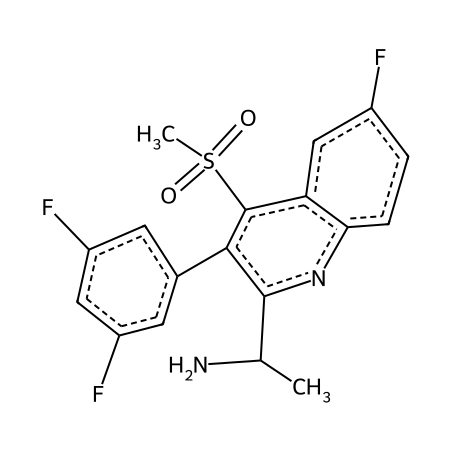 CC(N)c1nc2ccc(F)cc2c(S(C)(=O)=O)c1-c1cc(F)cc(F)c1